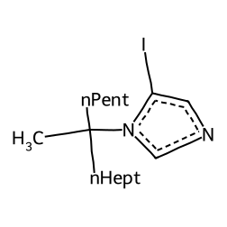 CCCCCCCC(C)(CCCCC)n1cncc1I